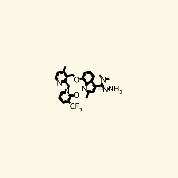 Cc1cc(/C(=N/N)N(C)C)c2cccc(OCc3c(C)ccnc3Cn3cccc(C(F)(F)F)c3=O)c2n1